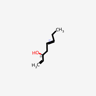 C=C[C@@H](O)C/C=C/CC